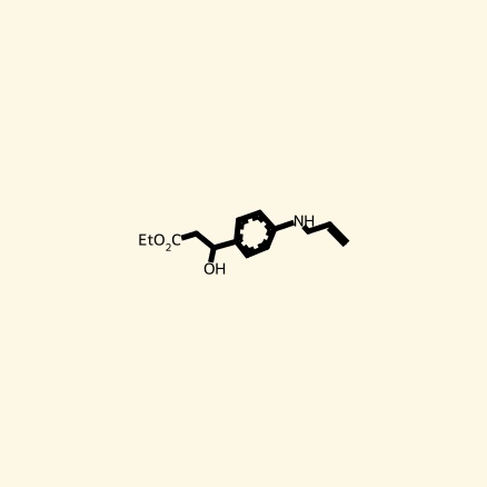 C=CCNc1ccc(C(O)CC(=O)OCC)cc1